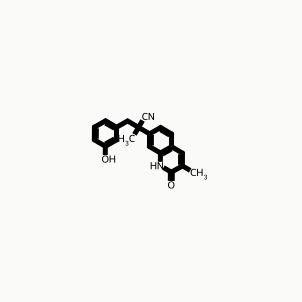 Cc1cc2ccc(C(C)(C#N)Cc3cccc(O)c3)cc2[nH]c1=O